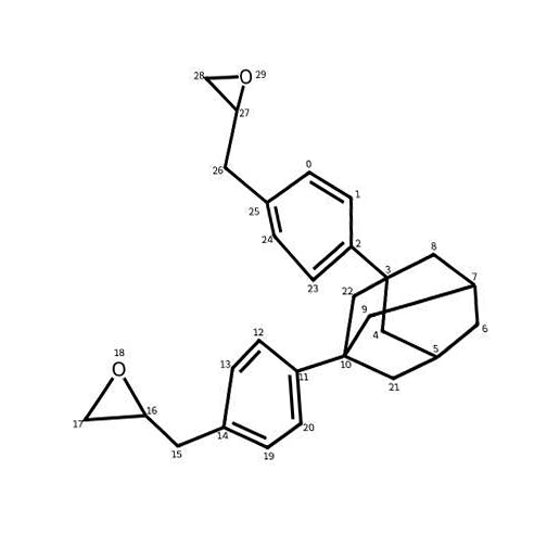 c1cc(C23CC4CC(C2)CC(c2ccc(CC5CO5)cc2)(C4)C3)ccc1CC1CO1